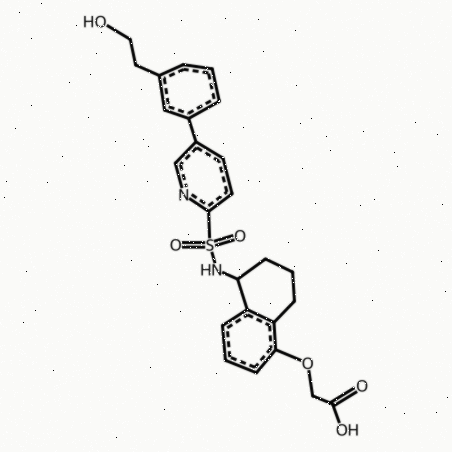 O=C(O)COc1cccc2c1CCCC2NS(=O)(=O)c1ccc(-c2cccc(CCO)c2)cn1